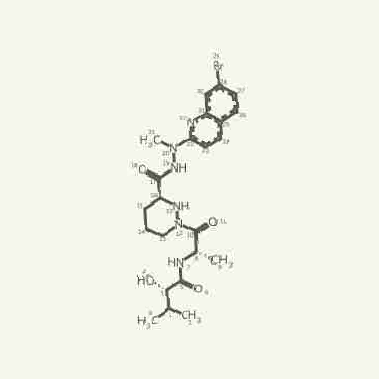 CC(C)[C@H](O)C(=O)N[C@@H](C)C(=O)N1CCC[C@@H](C(=O)NN(C)c2ccc3ccc(Br)cc3n2)N1